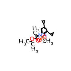 CC(C)OC(=O)[C@H](C)NP(C)(=O)Oc1ccc(C2CC2)cc1C1CC1